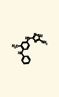 Cc1cc(Nc2n[nH]c(N)n2)ccc1Nc1ccccc1